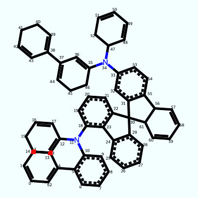 C1=CCCC(c2ccccc2N(C2=CCCC=C2)c2cccc3c2-c2ccccc2C32c3cc(N(C4=CC(C5=CCCC=C5)=CCC4)C4C=CC=CC4)ccc3C3C=CC=CC32)=C1